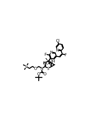 CC(C)(C)OC(=O)N(COCC[Si](C)(C)C)C1=N[C@](C)(c2cc(/C=C(/F)c3ccc(Cl)cn3)cnc2F)[C@@H]2C[C@]2(C(=O)O)S1